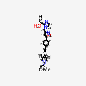 COCCN1C[C@@H]2[C@@H](C#Cc3ccc(-c4cc(Cn5ccnc5[C@H](C)O)no4)cc3)[C@@H]2C1